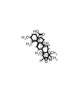 C[C@@H]1CC[C@]2(C(=O)O)CC[C@]3(C)C(=CCC4C3(C)CCC3C(C)(C)[C@@H]5O[C@@H]5C[C@@]34C)C2[C@H]1C